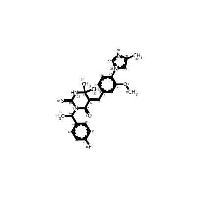 COc1cc(/C=C2/C(=O)N(C(C)c3ccc(F)cc3)C(=S)NC2(C)C)ccc1-n1cnc(C)c1